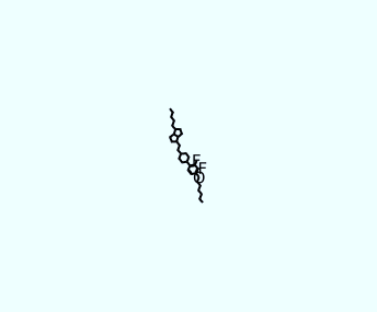 CCCCCCOc1ccc(C2CCC(CCC3CCC4C(CCCCC)CCC34)CC2)c(F)c1F